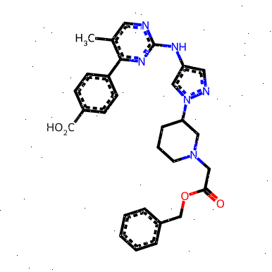 Cc1cnc(Nc2cnn(C3CCCN(CC(=O)OCc4ccccc4)C3)c2)nc1-c1ccc(C(=O)O)cc1